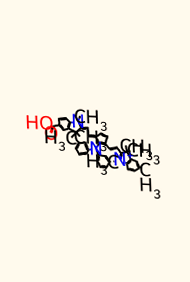 Cc1ccc2c(c1)C(C)(C)C(C=CC1=C(N(c3ccccc3)c3ccccc3)C(=CC=C3N(C)c4ccc(C(=O)O)cc4C3(C)C)C=C1)=[N+]2C